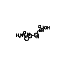 CC(C)(O)C(=O)NCc1cncc(-c2cnc3c(c2)CCCN3C(N)=O)c1